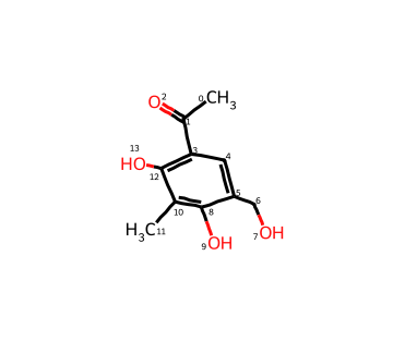 CC(=O)c1cc(CO)c(O)c(C)c1O